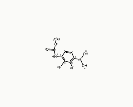 CC(C)(C)OC(=O)Nc1ccc(B(O)O)c(F)c1F